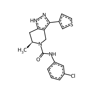 C[C@H]1Cc2[nH]nc(-c3ccsc3)c2CN1C(=O)Nc1cccc(Cl)c1